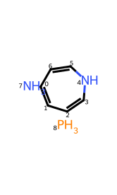 C1=CC=CNC=C1.N.P